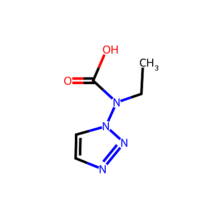 CCN(C(=O)O)n1ccnn1